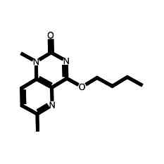 CCCCOc1nc(=O)n(C)c2ccc(C)nc12